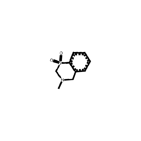 CN1Cc2ccccc2S(=O)(=O)C1